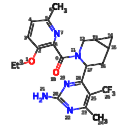 CCOc1ccc(C)nc1C(=O)N1CC2CC2CC1c1nc(N)nc(C)c1C(F)(F)F